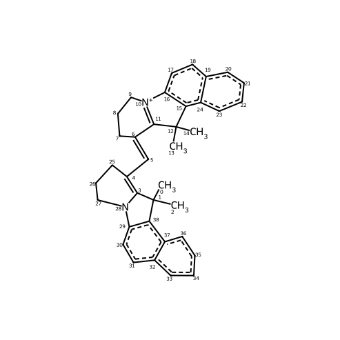 CC1(C)C2=C(C=C3CCC[N+]4=C3C(C)(C)c3c4ccc4ccccc34)CCCN2c2ccc3ccccc3c21